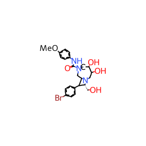 COc1ccc(NC(=O)N2CC(O)C(O)CN3C(C2)C(c2ccc(Br)cc2)[C@H]3CO)cc1